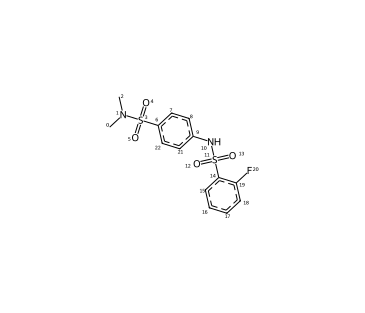 CN(C)S(=O)(=O)c1ccc(NS(=O)(=O)c2ccccc2F)cc1